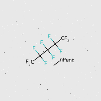 CCCCCC.FC(F)(F)C(F)(F)C(F)(F)C(F)(F)C(F)(F)F